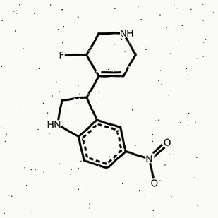 O=[N+]([O-])c1ccc2c(c1)C(C1=CCNCC1F)CN2